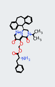 CC(C)N1C[C@H](C2c3ccccc3CCc3ccccc32)n2ncc(=O)c(OCOC(=O)[C@H](N)Cc3ccccc3)c2C1=O